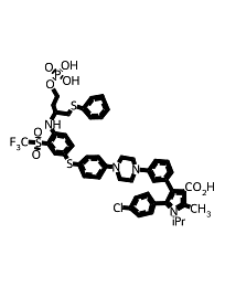 Cc1c(C(=O)O)c(-c2cccc(N3CCN(c4ccc(Sc5ccc(NC(CCOP(=O)(O)O)CSc6ccccc6)c(S(=O)(=O)C(F)(F)F)c5)cc4)CC3)c2)c(-c2ccc(Cl)cc2)n1C(C)C